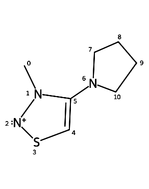 CN1[N+]SC=C1N1CCCC1